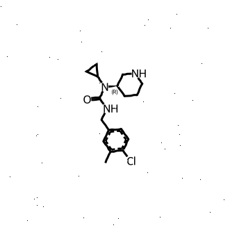 Cc1cc(CNC(=O)N(C2CC2)[C@@H]2CCCNC2)ccc1Cl